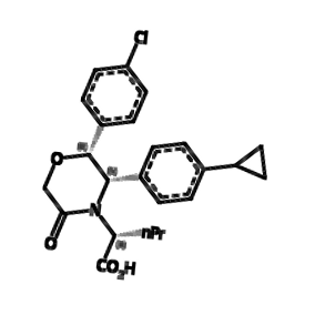 CCC[C@H](C(=O)O)N1C(=O)CO[C@H](c2ccc(Cl)cc2)[C@@H]1c1ccc(C2CC2)cc1